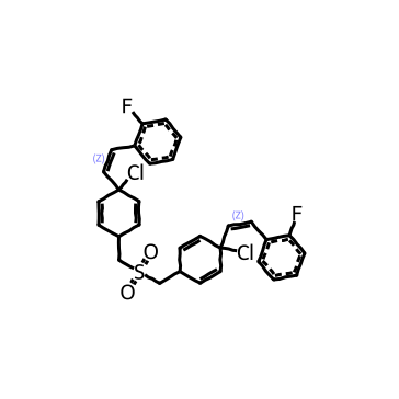 O=S(=O)(CC1C=CC(Cl)(/C=C\c2ccccc2F)C=C1)CC1C=CC(Cl)(/C=C\c2ccccc2F)C=C1